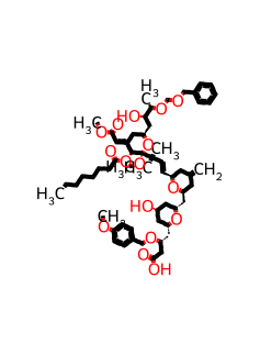 C=C1C[C@@H](C[C@H]2C[C@@H](O)C[C@@H](C[C@H](CC(=O)O)OCc3ccc(OC)cc3)O2)O[C@@H](C=CC(C)(C)[C@]2(OC)O[C@H](C[C@@H](O)[C@@H](C)OCOCc3ccccc3)CC(=CC(=O)OC)[C@@H]2OC(=O)CCCCCCC)C1